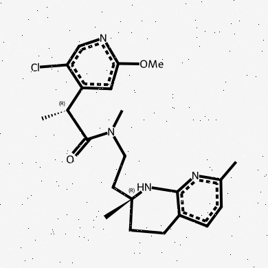 COc1cc([C@@H](C)C(=O)N(C)CC[C@@]2(C)CCc3ccc(C)nc3N2)c(Cl)cn1